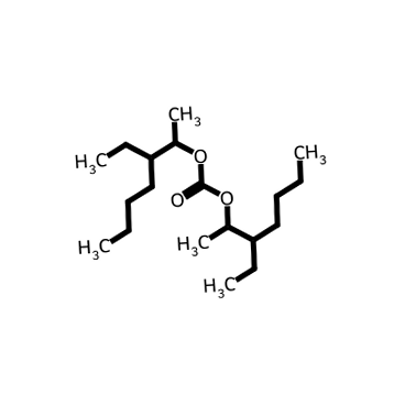 CCCCC(CC)C(C)OC(=O)OC(C)C(CC)CCCC